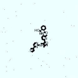 Cc1nc(-c2onc(C)c2CNc2nccc(-c3ccsc3)n2)ccc1NC(=O)[C@H]1CCCC[C@@H]1C(=O)O